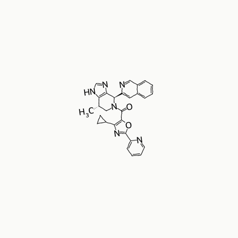 C[C@H]1CN(C(=O)c2oc(-c3ccccn3)nc2C2CC2)[C@H](c2cc3ccccc3cn2)c2nc[nH]c21